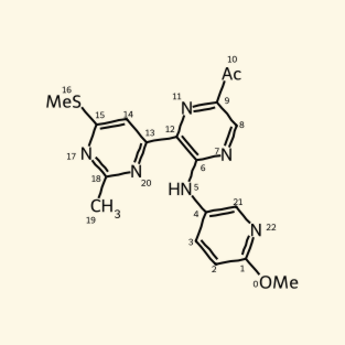 COc1ccc(Nc2ncc(C(C)=O)nc2-c2cc(SC)nc(C)n2)cn1